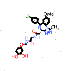 COc1ccc2c(c1)C(c1ccc(Cl)cc1)=N[C@@H](CC(=O)NCC(=O)NCOc1ccc(O)c(O)c1)c1nnc(C)n1-2